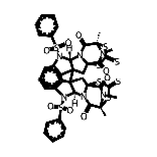 CN1C(=O)C23CC4(C56CC78SC(=S)S[C@](C)(C(=O)N7[C@H]5N(S(=O)(=O)c5ccccc5)c5ccccc56)N(C)C8=O)c5ccccc5N(S(=O)(=O)c5ccccc5)[C@@H]4N2C(=O)[C@@]1(C)SC(=S)S3